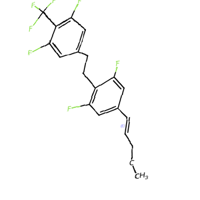 CCC/C=C/c1cc(F)c(CCc2cc(F)c(C(F)(F)F)c(F)c2)c(F)c1